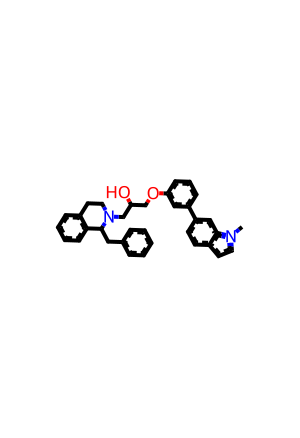 Cn1ccc2ccc(-c3cccc(OCC(O)CN4CCc5ccccc5C4Cc4ccccc4)c3)cc21